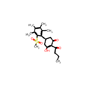 CCCC(=O)C1=C(O)CC(c2c(C)c(C)c(C)c(C)c2S(C)(=O)=O)CC1=O